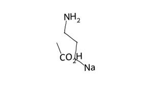 CC(=O)O.NCC[CH2][Na]